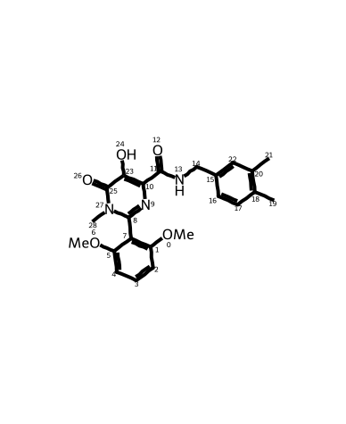 COc1cccc(OC)c1-c1nc(C(=O)NCc2ccc(C)c(C)c2)c(O)c(=O)n1C